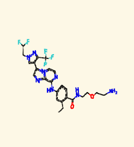 CCc1cc(Nc2nccn3c(-c4cn(CC(F)F)nc4C(F)(F)F)cnc23)ccc1C(=O)NCCOCCN